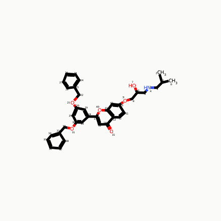 CC(C)CNCC(O)COc1ccc2c(=O)cc(-c3cc(OCc4ccccc4)cc(OCc4ccccc4)c3)oc2c1